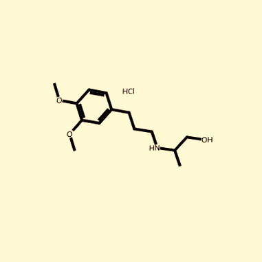 COc1ccc(CCCNC(C)CO)cc1OC.Cl